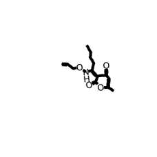 C=CCONC(CCCC)=C1C(=O)C=C(C)OC1=O